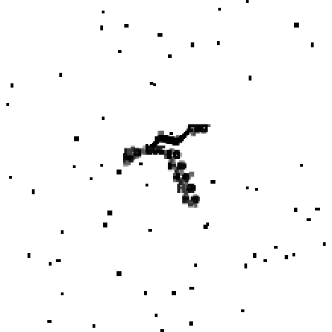 O.O.O.O.O.O.O=C([O-])C=CC(=O)[O-].[Fe+2]